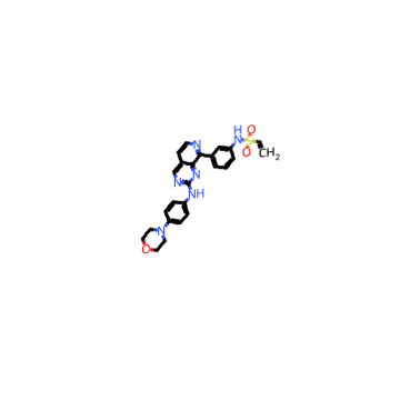 C=CS(=O)(=O)Nc1cccc(-c2nccc3cnc(Nc4ccc(N5CCOCC5)cc4)nc23)c1